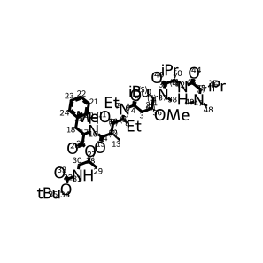 CC[C@H](C)[C@@H]([C@@H](CC(=O)N(CC)[C@@H](CC)[C@H](OC)[C@@H](C)C(=O)NC(Cc1ccccc1)C(=O)OC(C)CNC(=O)OC(C)(C)C)OC)N(C)C(=O)[C@@H](NC(=O)[C@H](C(C)C)N(C)C)C(C)C